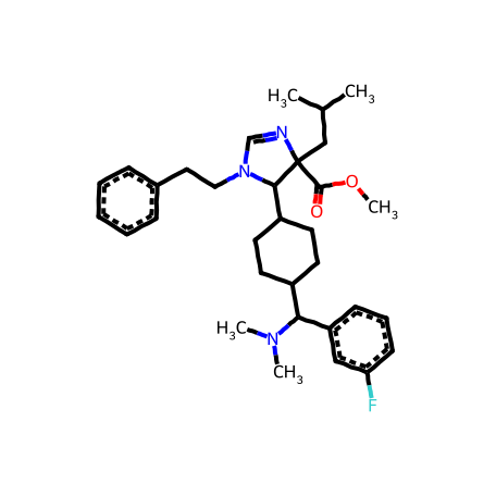 COC(=O)C1(CC(C)C)N=CN(CCc2ccccc2)C1C1CCC(C(c2cccc(F)c2)N(C)C)CC1